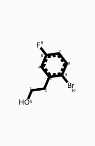 OCCc1cc(F)ccc1Br